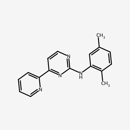 Cc1ccc(C)c(Nc2nccc(-c3ccccn3)n2)c1